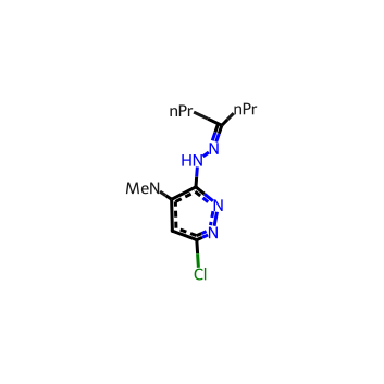 CCCC(CCC)=NNc1nnc(Cl)cc1NC